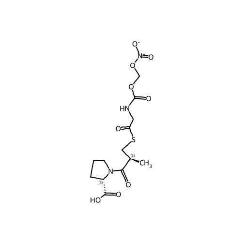 C[C@H](CSC(=O)CNC(=O)OCO[N+](=O)[O-])C(=O)N1CCC[C@H]1C(=O)O